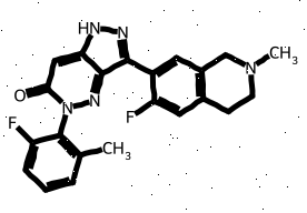 Cc1cccc(F)c1-n1nc2c(-c3cc4c(cc3F)CCN(C)C4)n[nH]c2cc1=O